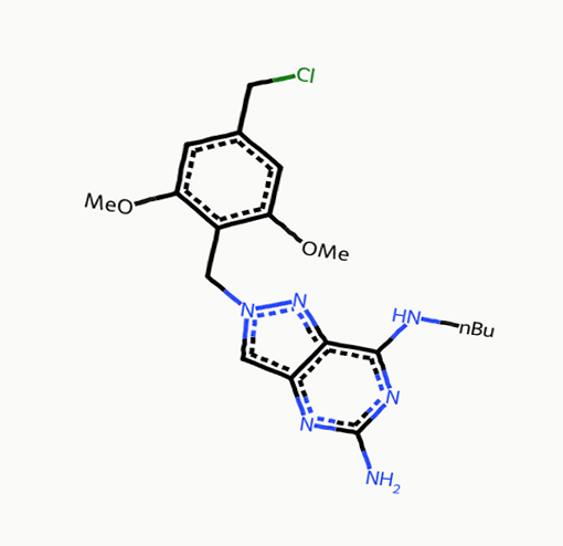 CCCCNc1nc(N)nc2cn(Cc3c(OC)cc(CCl)cc3OC)nc12